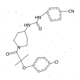 CC(C)(Oc1ccc(Cl)cc1)C(=O)N1CCC(NC(=O)Nc2ccc(C#N)cc2)CC1